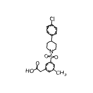 Cc1cc(CC(=O)O)cc(S(=O)(=O)N2CCC(c3ccc(Cl)cc3)CC2)c1